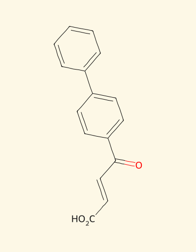 O=C(O)C=CC(=O)c1ccc(-c2ccccc2)cc1